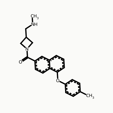 CNCC1CN(C(=O)c2ccc3c(Oc4ccc(C)cc4)cccc3c2)C1